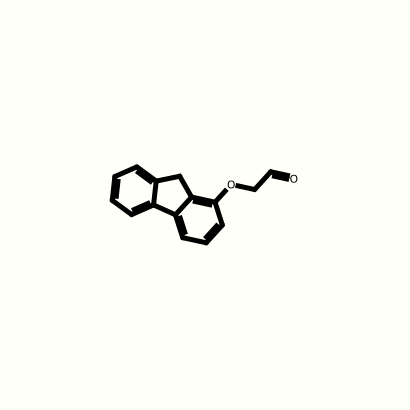 O=[C]COc1cccc2c1Cc1ccccc1-2